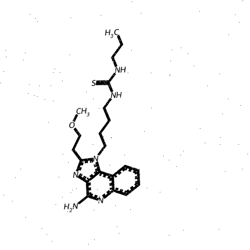 CCCNC(=S)NCCCCn1c(CCOC)nc2c(N)nc3ccccc3c21